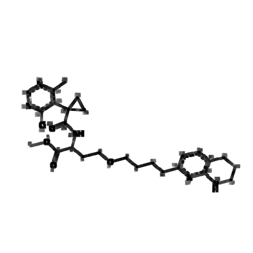 COC(=O)C(CCOCCCCc1ccc2c(n1)NCCC2)NC(=O)C1(c2c(C)ncnc2Cl)CC1